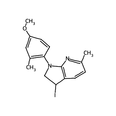 COc1ccc(N2CC(I)c3ccc(C)nc32)c(C)c1